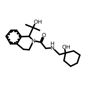 CC(C)(O)C1c2ccccc2CCN1C(=O)CNCC1(O)CCCCC1